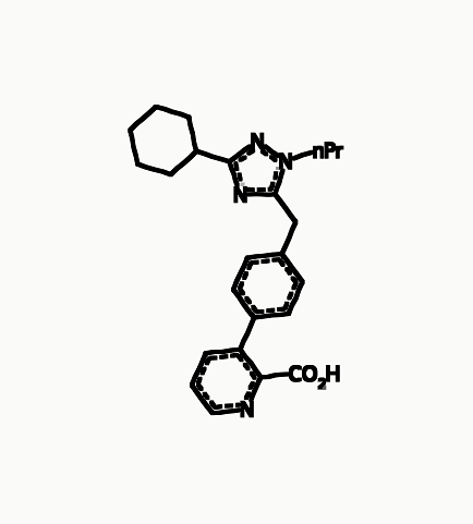 CCCn1nc(C2CCCCC2)nc1Cc1ccc(-c2cccnc2C(=O)O)cc1